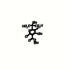 CC(C)(C)OC(=O)c1c(Cl)nc(C(C(=O)O)(C(=O)O)C(C)(C)C)c(F)c1C(C)(C)C